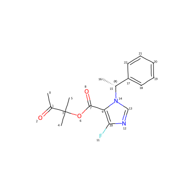 CC(=O)C(C)(C)OC(=O)c1c(F)ncn1[C@H](C)c1ccccc1